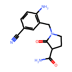 N#Cc1ccc(N)c(CN2CCC(C(N)=O)C2=O)c1